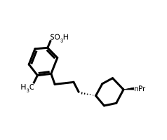 CCC[C@H]1CC[C@H](CCCc2cc(S(=O)(=O)O)ccc2C)CC1